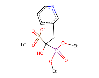 CCOP(=O)(OCC)C(O)(Cc1cccnc1)S(=O)(=O)[O-].[Li+]